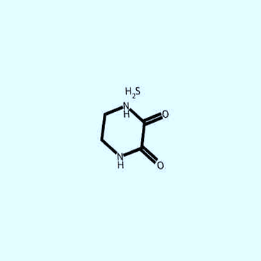 O=C1NCCNC1=O.S